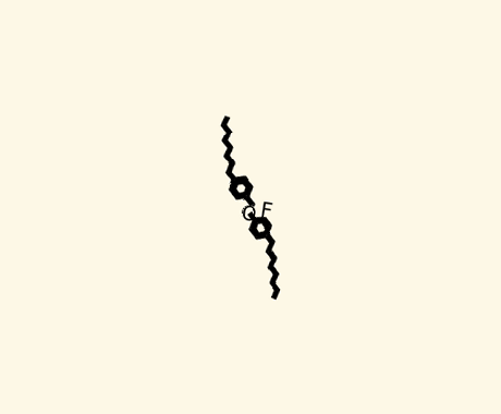 CCCCCCCCc1ccc(COc2ccc(CCCCCCCC)cc2F)cc1